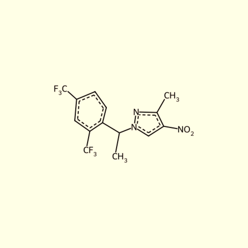 Cc1nn(C(C)c2ccc(C(F)(F)F)cc2C(F)(F)F)cc1[N+](=O)[O-]